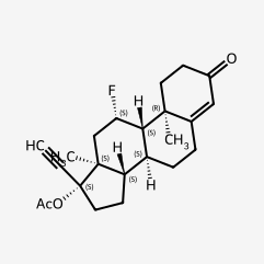 C#C[C@]1(OC(C)=O)CC[C@H]2[C@@H]3CCC4=CC(=O)CC[C@]4(C)[C@H]3[C@@H](F)C[C@@]21C